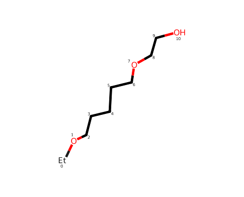 CCOCCCCCOCCO